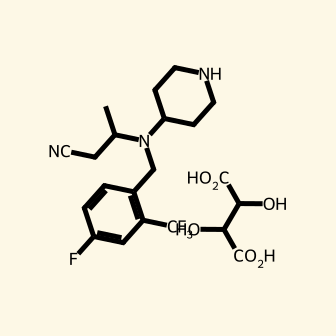 CC(CC#N)N(Cc1ccc(F)cc1C(F)(F)F)C1CCNCC1.O=C(O)C(O)C(O)C(=O)O